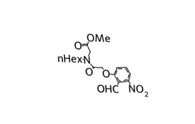 CCCCCCN(CC(=O)OC)C(=O)COc1cccc([N+](=O)[O-])c1C=O